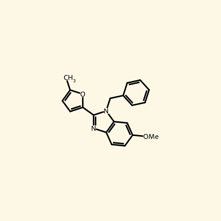 COc1ccc2nc(-c3ccc(C)o3)n(Cc3ccccc3)c2c1